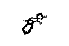 CCCC1(C(=O)c2c[nH]c3ccccc23)CCNC1